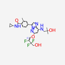 Cc1cc(-c2cnc3c(NCC(C)(C)O)cc(O/C=C(/F)C(F)(F)CO)nn23)ccc1C(=O)NC1CC1